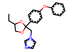 CCC1COC(Cn2ccnc2)(c2ccc(Oc3ccccc3)cc2)O1